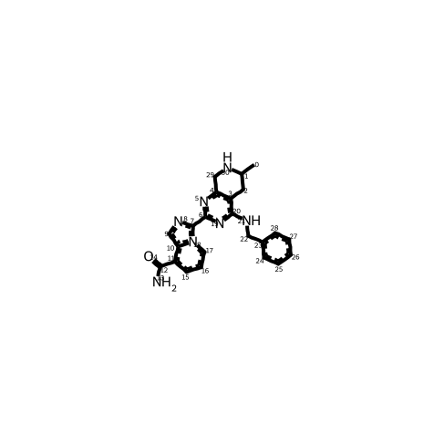 CC1Cc2c(nc(-c3ncc4c(C(N)=O)cccn34)nc2NCc2ccccc2)CN1